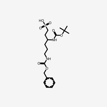 CC(C)(C)OC(=O)NC(CCCNC(=O)OCc1ccccc1)CCS(=O)(=O)O